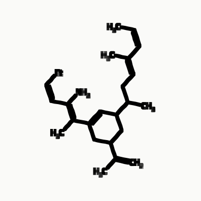 C=C(C)C1CC(/C(C)=C(N)/C=C\CC)=CC(C(C)C/C=C(C)/C=C\C)C1